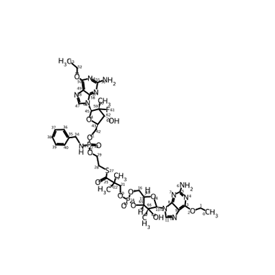 CCOc1nc(N)nc2c1ncn2[C@@H]1O[C@@H]2COP(=O)(OCC(C)(C)C(=O)SCCOP(=O)(NCc3ccccc3)OC[C@H]3O[C@@H](n4cnc5c(OCC)nc(N)nc54)[C@](C)(F)[C@@H]3O)O[C@H]2[C@@]1(C)O